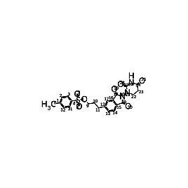 Cc1ccc(S(=O)(=O)OCCCc2ccc3c(c2)C(=O)N(N2CCC(=O)NC2=O)C3=O)cc1